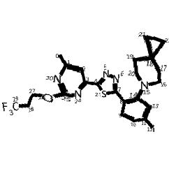 Cc1cc(-c2nnc(-c3ccc(I)cc3N3CCC4(CC3)CC4)s2)nc(OCCC(F)(F)F)n1